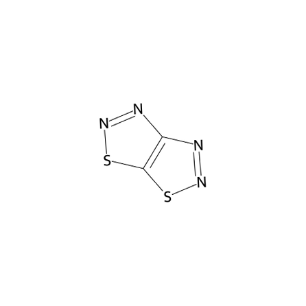 n1nc2nnsc2s1